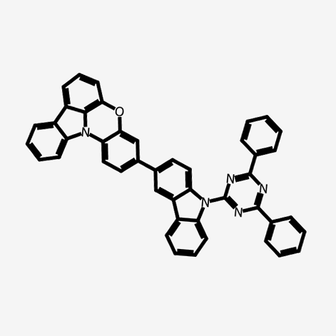 c1ccc(-c2nc(-c3ccccc3)nc(-n3c4ccccc4c4cc(-c5ccc6c(c5)Oc5cccc7c8ccccc8n-6c57)ccc43)n2)cc1